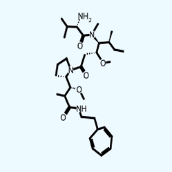 CC[C@H](C)[C@@H]([C@@H](CC(=O)N1CCC[C@H]1[C@H](OC)C(C)C(=O)NCCC1C=CC=CC=C1)OC)N(C)C(=O)[C@@H](N)C(C)C